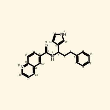 O=C(NC(CCc1ccccc1)c1cc[nH]c1)c1ccc2ncccc2c1